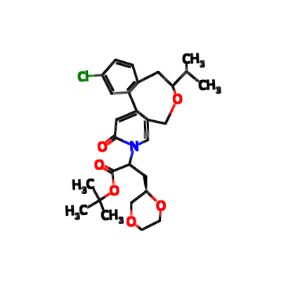 CC(C)C1Cc2ccc(Cl)cc2-c2cc(=O)n(C(C[C@@H]3COCCO3)C(=O)OC(C)(C)C)cc2CO1